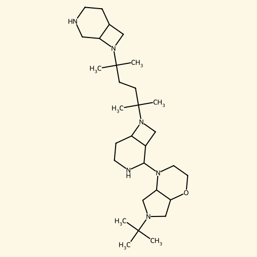 CC(C)(C)N1CC2OCCN(C3NCCC4C3CN4C(C)(C)CCC(C)(C)N3CC4CCNCC43)C2C1